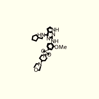 COc1cc(S(=O)(=O)N2CCC(N3CCOCC3)CC2)ccc1Nc1nc(NCC2CCCC2)c2cc[nH]c2n1